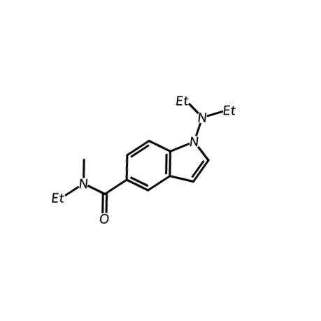 CCN(C)C(=O)c1ccc2c(ccn2N(CC)CC)c1